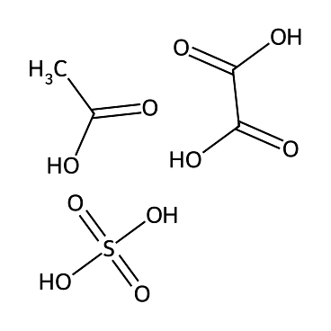 CC(=O)O.O=C(O)C(=O)O.O=S(=O)(O)O